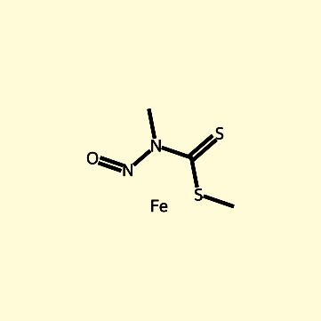 CSC(=S)N(C)N=O.[Fe]